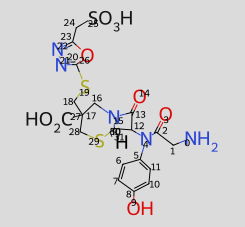 NCC(=O)N(c1ccc(O)cc1)C1C(=O)N2CC(CSc3nnc(CS(=O)(=O)O)o3)(C(=O)O)CS[C@H]12